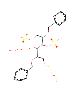 O=S(=O)(O)OCC(OCc1ccccc1)C(OS(=O)(=O)O)C(OSOOO)C(COSOOO)OCc1ccccc1